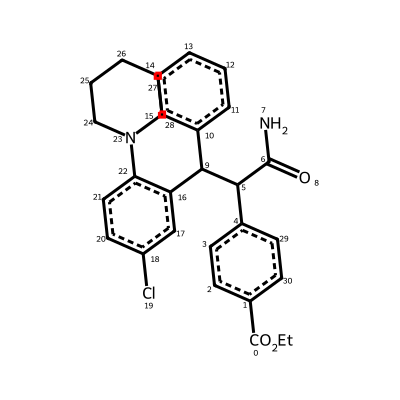 CCOC(=O)c1ccc(C(C(N)=O)C(c2ccccc2)c2cc(Cl)ccc2N2CCCCC2)cc1